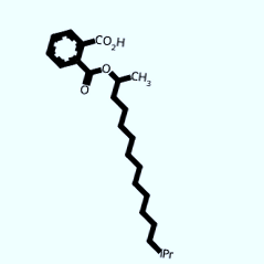 CC(C)CCCCCCCCCCCC(C)OC(=O)c1ccccc1C(=O)O